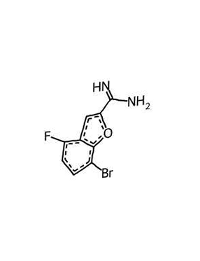 N=C(N)c1cc2c(F)ccc(Br)c2o1